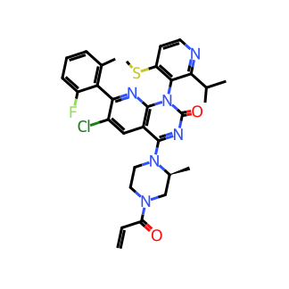 C=CC(=O)N1CCN(c2nc(=O)n(-c3c(SC)ccnc3C(C)C)c3nc(-c4c(C)cccc4F)c(Cl)cc23)[C@@H](C)C1